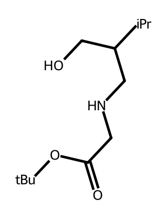 CC(C)C(CO)CNCC(=O)OC(C)(C)C